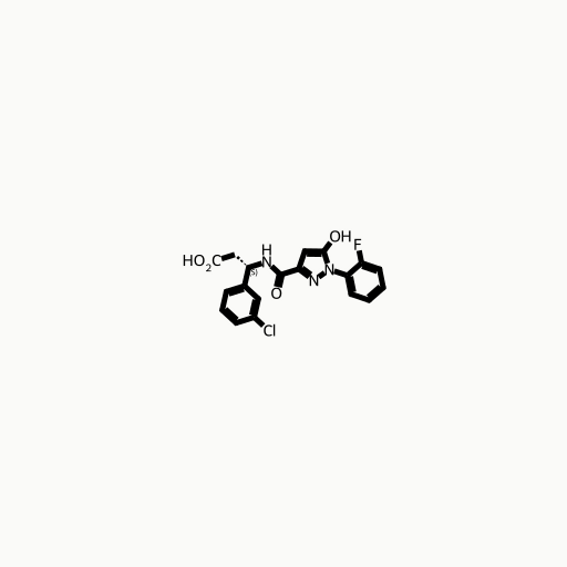 O=C(O)C[C@H](NC(=O)c1cc(O)n(-c2ccccc2F)n1)c1cccc(Cl)c1